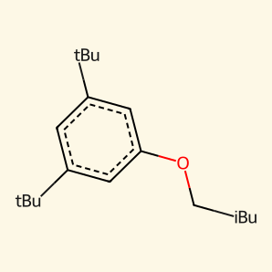 CCC(C)COc1cc(C(C)(C)C)cc(C(C)(C)C)c1